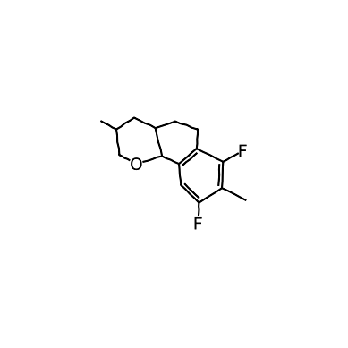 Cc1c(F)cc2c(c1F)CCC1CC(C)COC21